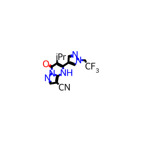 CC(C)c1c(-c2cnn(CC(F)(F)F)c2)[nH]c2c(C#N)cnn2c1=O